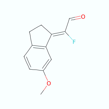 COc1ccc2c(c1)/C(=C(\F)C=O)CC2